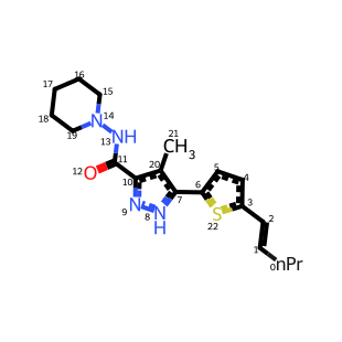 CCCC=Cc1ccc(-c2[nH]nc(C(=O)NN3CCCCC3)c2C)s1